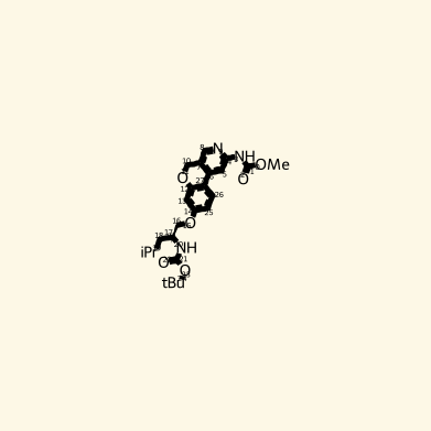 COC(=O)Nc1cc2c(cn1)COc1cc(OC[C@H](CC(C)C)NC(=O)OC(C)(C)C)ccc1-2